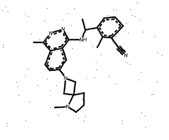 Cc1c(C#N)cccc1C(C)Nc1nnc(C)c2ccc(N3CC4(CCCN4C)C3)cc12